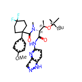 COc1ccc(C2(C(=O)N(C)[C@@H](C(=O)Nc3ccc4[nH]ncc4n3)[C@@H](C)O[Si](C)(C)C(C)(C)C)CCC(F)(F)CC2)cc1